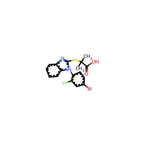 CC(C)(Sc1nc2ccccc2n1-c1ccc(Br)cc1F)C(=O)O